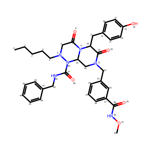 CCCCCN1CC(=O)N2C(Cc3ccc(O)cc3)C(=O)N(Cc3cccc(C(=O)NOC)c3)CC2N1C(=O)NCc1ccccc1